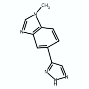 Cn1cnc2cc(-c3cn[nH]n3)ccc21